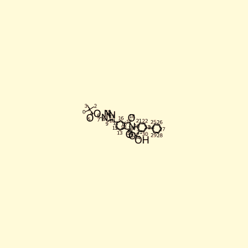 CC(C)(C)C(=O)OCn1cc(-c2ccc3c(c2)C(=O)N(c2ccc(-c4ccccc4)cc2C(=O)O)C3=O)nn1